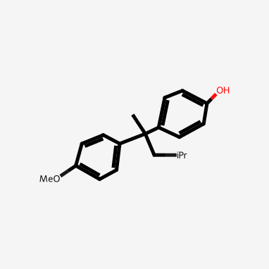 COc1ccc(C(C)(CC(C)C)c2ccc(O)cc2)cc1